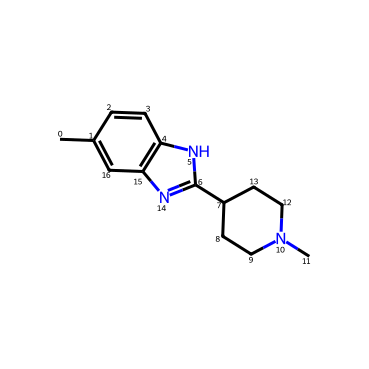 Cc1ccc2[nH]c(C3CCN(C)CC3)nc2c1